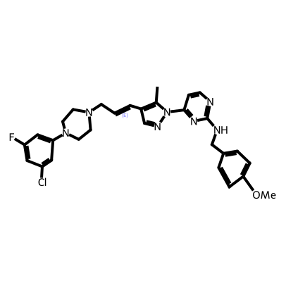 COc1ccc(CNc2nccc(-n3ncc(/C=C/CN4CCN(c5cc(F)cc(Cl)c5)CC4)c3C)n2)cc1